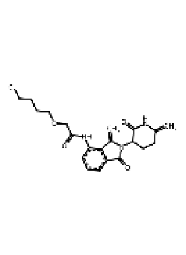 C=C1CCC(N2C(=C)c3c(NC(=O)COCCCCCl)cccc3C2=O)C(=O)N1